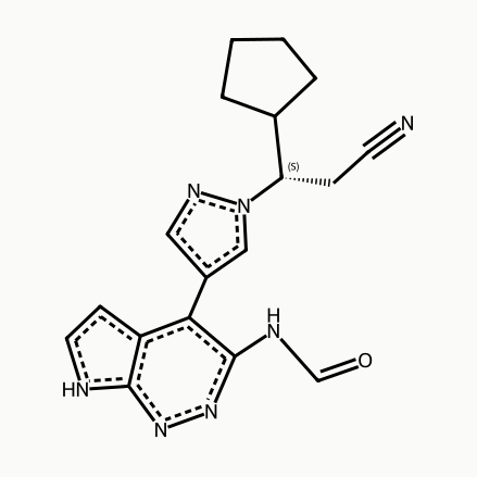 N#CC[C@@H](C1CCCC1)n1cc(-c2c(NC=O)nnc3[nH]ccc23)cn1